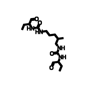 CCC(C=O)NC(=O)NCCCC(C)CNC(=O)NC(C=O)CC